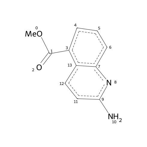 COC(=O)c1cccc2nc(N)ccc12